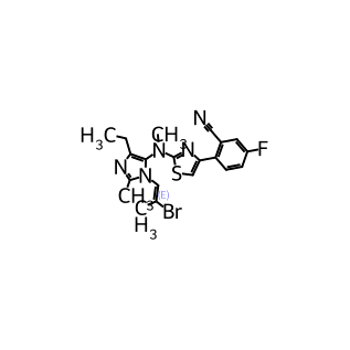 CCc1nc(C)n(/C=C(\C)Br)c1N(C)c1nc(-c2ccc(F)cc2C#N)cs1